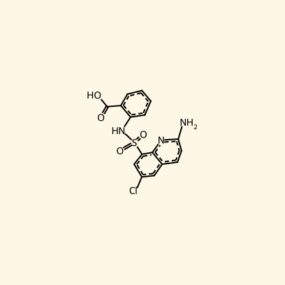 Nc1ccc2cc(Cl)cc(S(=O)(=O)Nc3ccccc3C(=O)O)c2n1